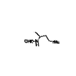 [CH2]C(CCCCCC)NC=O